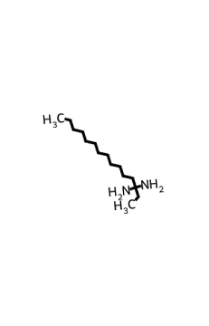 CCCCCCCCCCCCC(N)(N)CC